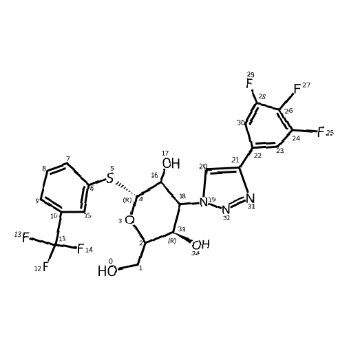 OCC1O[C@H](Sc2cccc(C(F)(F)F)c2)C(O)C(n2cc(-c3cc(F)c(F)c(F)c3)nn2)[C@H]1O